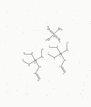 C=CC[N+](CC)(CC)CC.C=CC[N+](CC)(CC)CC.O=S(=O)([O-])[O-]